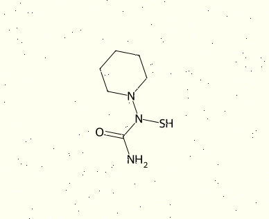 NC(=O)N(S)N1CCCCC1